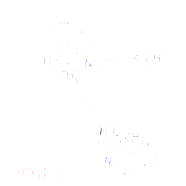 CC1(C)C(/C=C/C=C/C=C/C=C2/N(CCCCSOOO)c3ccc4ccccc4c3C2(C)C)=[N+](CCCCS(=O)(=O)O)c2ccc3ccccc3c21